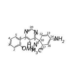 COc1ccccc1-c1cc(C2(N)C=CC(N)=CC2C)ncn1